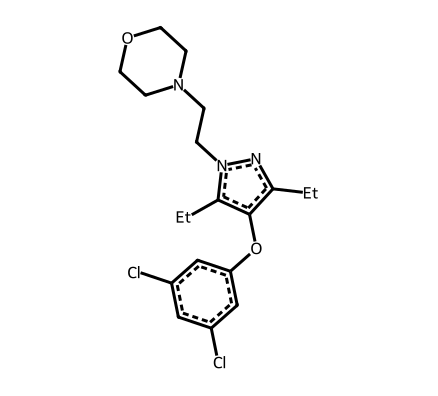 CCc1nn(CCN2CCOCC2)c(CC)c1Oc1cc(Cl)cc(Cl)c1